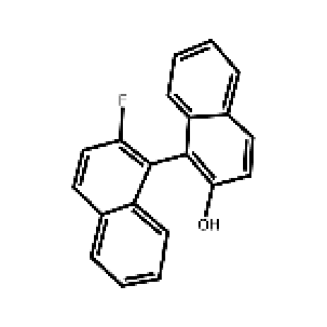 Oc1ccc2ccccc2c1-c1c(F)ccc2ccccc12